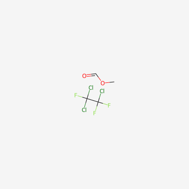 COC=O.FC(F)(Cl)C(F)(Cl)Cl